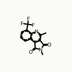 Cc1nc2c(C(F)(F)F)cccc2c2c1C(=O)N(C)C2=O